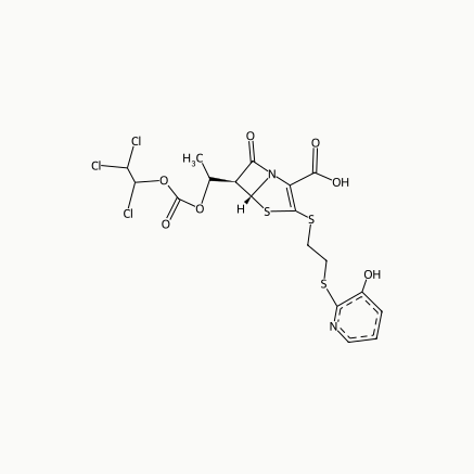 CC(OC(=O)OC(Cl)C(Cl)Cl)[C@H]1C(=O)N2C(C(=O)O)=C(SCCSc3ncccc3O)S[C@H]12